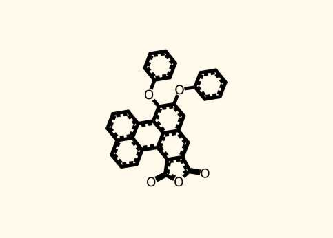 O=c1oc(=O)c2c1cc1cc(Oc3ccccc3)c(Oc3ccccc3)c3c4cccc5cccc(c54)c2c13